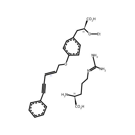 CCO[C@@H](Cc1ccc(OC/C=C/C#Cc2ccccc2)cc1)C(=O)O.NC(N)=NCCC[C@H](N)C(=O)O